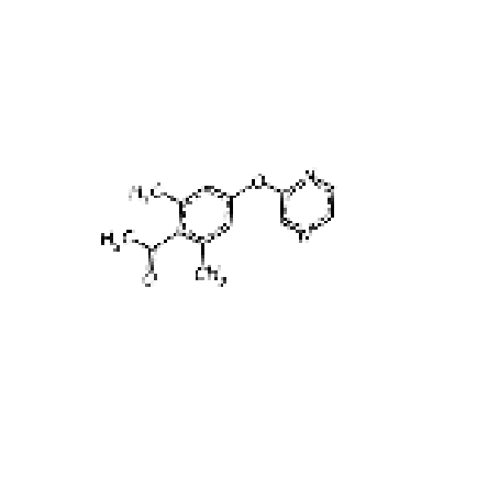 CC(=O)c1c(C)cc(Oc2cnccn2)cc1C